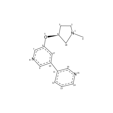 CN1CC[C@H](Oc2cncc(-c3cccnc3)c2)C1